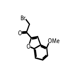 COc1cccc2oc(C(=O)CBr)cc12